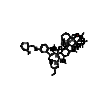 CCC1=C[C@H]2CN(C1)CC1=C(Bc3ccc(SCc4ccccc4F)cc31)[C@@](C(=O)OC)(C1C=C3C(=CC1OC)N(C)[C@H]1[C@@](O)(C(=O)OC)[C@H](OC(C)=O)[C@]4(CC)C=CCN5CC[C@]31[C@@H]54)C2